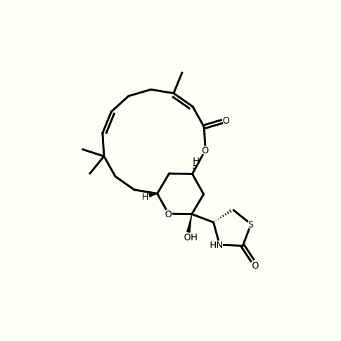 CC1=CC(=O)O[C@@H]2C[C@@H](CCC(C)(C)C=CCC1)O[C@@](O)([C@@H]1CSC(=O)N1)C2